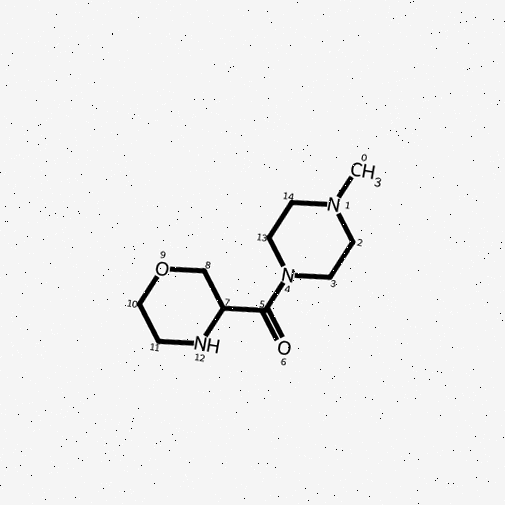 CN1CCN(C(=O)C2COCCN2)CC1